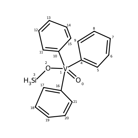 [O]=[V]([O][SiH3])([c]1ccccc1)([c]1ccccc1)[c]1ccccc1